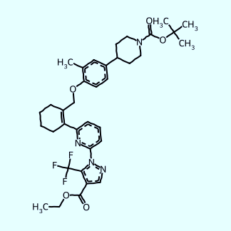 CCOC(=O)c1cnn(-c2cccc(C3=C(COc4ccc(C5CCN(C(=O)OC(C)(C)C)CC5)cc4C)CCCC3)n2)c1C(F)(F)F